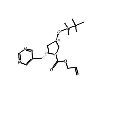 C=CCOC(=O)N1C[C@H](O[Si](C)(C)C(C)(C)C)C[C@H]1Cc1cncnc1